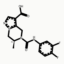 C[C@H]1Cn2ncc(C(=O)O)c2CN1C(=O)Nc1ccc(F)c(F)c1